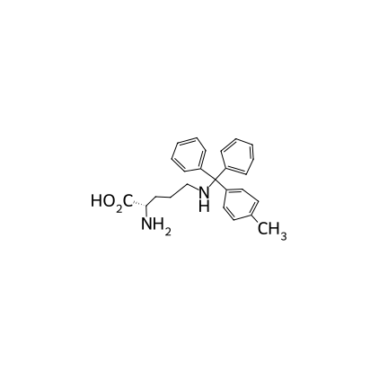 Cc1ccc(C(NCCC[C@H](N)C(=O)O)(c2ccccc2)c2ccccc2)cc1